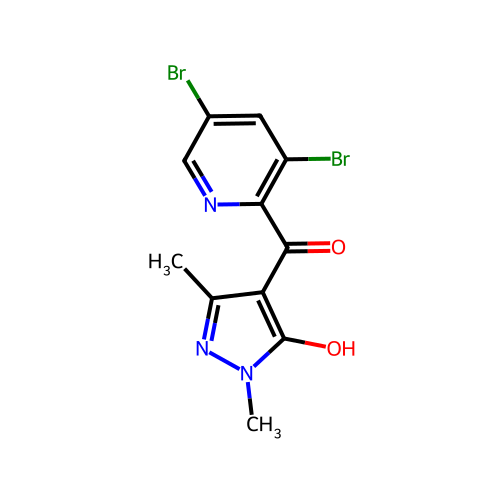 Cc1nn(C)c(O)c1C(=O)c1ncc(Br)cc1Br